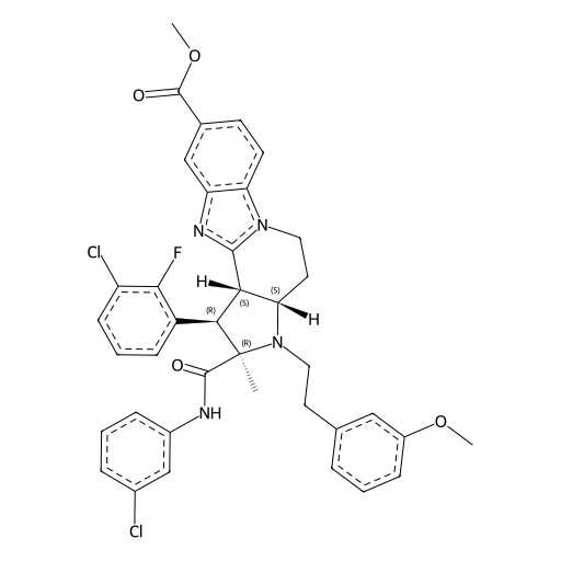 COC(=O)c1ccc2c(c1)nc1n2CC[C@H]2[C@@H]1[C@H](c1cccc(Cl)c1F)[C@](C)(C(=O)Nc1cccc(Cl)c1)N2CCc1cccc(OC)c1